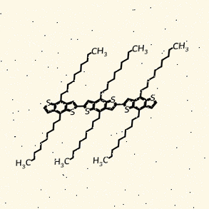 CCCCCCCCCCc1c2cc(-c3cc4c(CCCCCCCCCC)c5sc(-c6cc7c(CCCCCCCCCC)c8sccc8c(CCCCCCCCCC)c7s6)cc5c(CCCCCCCCCC)c4s3)sc2c(CCCCCCCCCC)c2ccsc12